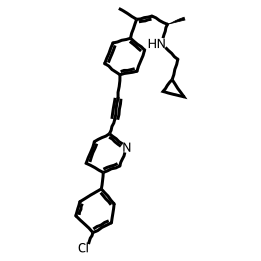 C/C(=C/[C@@H](C)NCC1CC1)c1ccc(C#Cc2ccc(-c3ccc(Cl)cc3)cn2)cc1